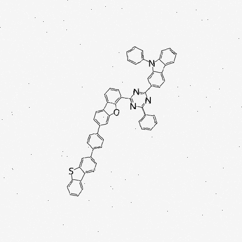 c1ccc(-c2nc(-c3ccc4c5ccccc5n(-c5ccccc5)c4c3)nc(-c3cccc4c3oc3cc(-c5ccc(-c6ccc7c(c6)sc6ccccc67)cc5)ccc34)n2)cc1